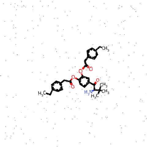 CCc1ccc(CC(=O)Oc2ccc(C(=O)C(N)C(C)(C)C)cc2OC(=O)Cc2ccc(CC)cc2)cc1